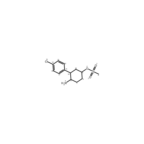 CS(=O)(=O)OC1CCC(N)C(c2ccc(Cl)cc2)C1